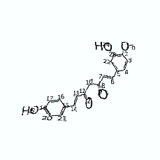 COc1ccc(C=CC(=O)CC(=O)C=Cc2ccc(O)cc2)cc1O